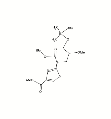 COC(=O)c1csc(N(CC(CO[Si](C)(C)C(C)(C)C)OC)C(=O)OC(C)(C)C)n1